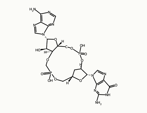 Nc1nc2c(ncn2[C@@H]2O[C@@H]3COP(=O)(O)CO[C@H]4[C@@H](O)[C@H](n5cnc6c(N)ncnc65)O[C@@H]4COP(=O)(O)O[C@@H]2C3)c(=O)[nH]1